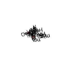 C[C@H](NC(=O)[C@@H](NC(=O)[C@H](CNC(=O)OC(C)(C)C)NC(=O)c1ccc(-c2ccc(Cl)cc2)cc1)[C@@H](C)OC(C)(C)C)C(=O)N[C@@H](CCCCNC(=O)OC(C)(C)C)C(=O)N[C@@H](C)C(O)c1nc2ccccc2o1